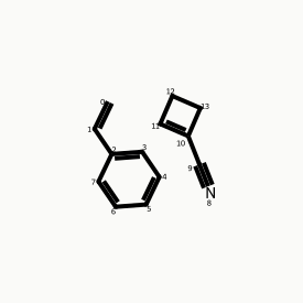 C=Cc1ccccc1.N#CC1=CCC1